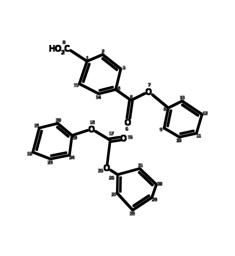 O=C(O)c1ccc(C(=O)Oc2ccccc2)cc1.O=C(Oc1ccccc1)Oc1ccccc1